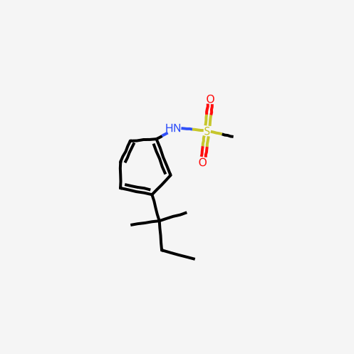 CCC(C)(C)c1cccc(NS(C)(=O)=O)c1